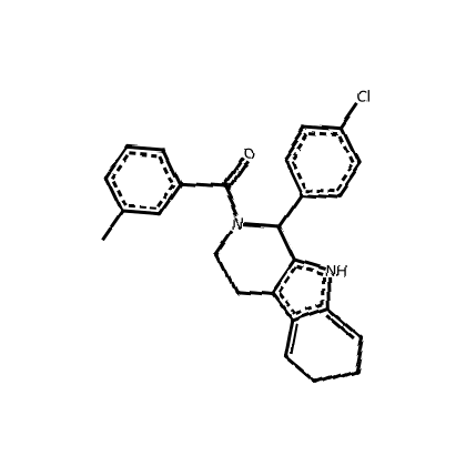 Cc1cccc(C(=O)N2CCc3c([nH]c4c3=CCCC=4)C2c2ccc(Cl)cc2)c1